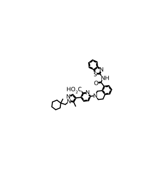 Cc1c(-c2ccc(N3CCc4cccc(C(=O)Nc5nc6ccccc6s5)c4C3)nc2C(=O)O)cnn1CC1(C)CCCCC1